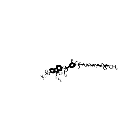 C=CC(=O)OCCOCCOCCOCCOC(=O)Oc1ccc(C(=O)Oc2ccc3c(c2)C(C)(C)c2cc(OC(C)=O)ccc2-3)cc1F